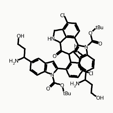 CC(C)(C)OC(=O)n1c(-c2ccc(Cl)c3c2C(C(=O)C2NCc4c(Cl)ccc(-c5cc6cc(C(N)CCO)ccc6n5C(=O)OC(C)(C)C)c42)NC3)cc2cc(C(N)CCO)ccc21